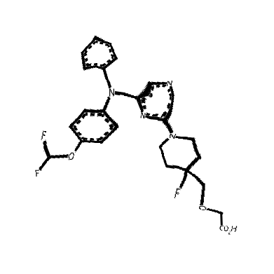 O=C(O)COCC1(F)CCN(c2cncc(N(c3ccccc3)c3ccc(OC(F)F)cc3)n2)CC1